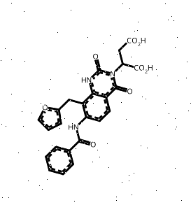 O=C(O)CC(C(=O)O)n1c(=O)[nH]c2c(Cc3ccco3)c(NC(=O)c3ccccc3)ccc2c1=O